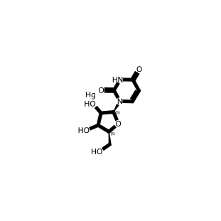 O=c1ccn([C@H]2O[C@@H](CO)C(O)C2O)c(=O)[nH]1.[Hg]